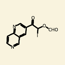 O=COC(I)C(=O)c1cnc2ccncc2c1